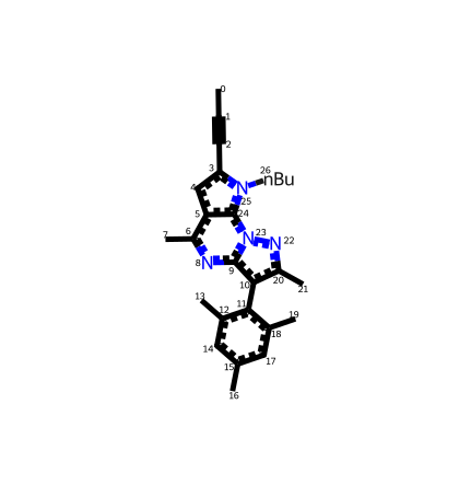 CC#Cc1cc2c(C)nc3c(-c4c(C)cc(C)cc4C)c(C)nn3c2n1CCCC